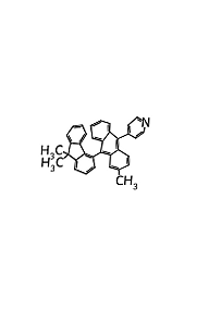 Cc1ccc2c(-c3ccncc3)c3ccccc3c(-c3cccc4c3-c3ccccc3C4(C)C)c2c1